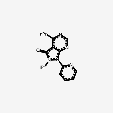 CCCc1ncnc2c1c(=O)n(C(C)C)n2-c1ccccn1